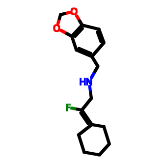 FC(CNCc1ccc2c(c1)OCO2)=C1CCCCC1